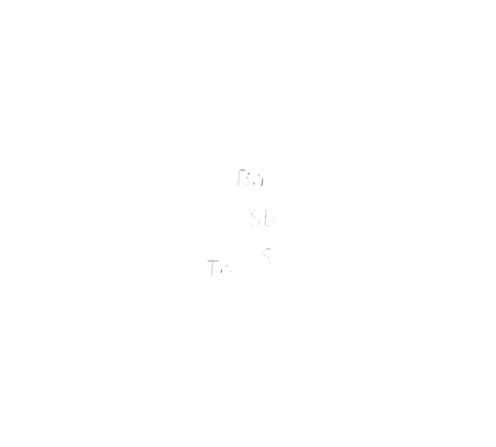 [Ba].[S].[Sb].[Te]